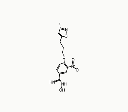 Cc1cc(CCCOc2ccc(C(=N)NO)cc2[N+](=O)[O-])on1